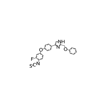 Fc1cc(Oc2ccc(-c3c[nH]c(COc4ccccc4)n3)cc2)ccc1N=C=S